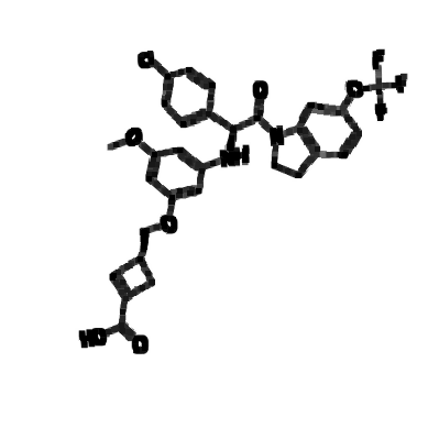 COc1cc(N[C@H](C(=O)N2CCc3ccc(OC(F)(F)F)cc32)c2ccc(Cl)cc2)cc(OC[C@@H]2C=C(C(=O)O)C2)c1